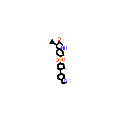 O=C1CNC2(CCC(S(=O)(=O)c3ccc(-c4ccc5cc[nH]c5c4)c(F)c3)CC2)CC1C1CC1